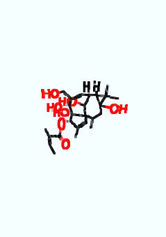 C/C=C(/C)C(=O)O[C@H]1C(C)=CC23C(C)C[C@]4(O)[C@H]([C@H](C=C(CO)[C@@H](O)[C@]12O)C3O)C4(C)C